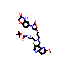 COc1ccc2ncc(F)c(CN(CCCNC(=O)OC(C)(C)C)CCC[C@@H]3CN(c4ccc5c(c4)NC(=O)CO5)C(=O)O3)c2n1